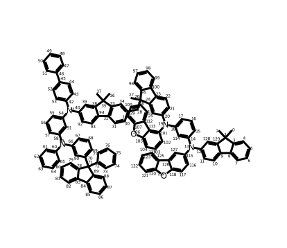 CC1(C)c2ccccc2-c2ccc(N(c3cccc(N(c4ccc5c(c4)C(C)(Cc4ccc6c(c4)C(C)(C)c4cc(N(c7ccc(-c8ccccc8)cc7)c7cccc(N(c8ccccc8)c8cccc(C9(c%10ccccc%10)c%10ccccc%10-c%10ccccc%109)c8)c7)ccc4-6)c4ccccc4-5)c4cccc5oc6ccccc6c45)c3)c3ccc4oc5ccccc5c4c3)cc21